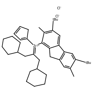 Cc1cc2c(cc1C(C)(C)C)-c1cc(C(C)(C)C)c(C)[c]([Zr+2]([C]3=CC=CC3)=[C](CC3CCCCC3)CC3CCCCC3)c1C2.[Cl-].[Cl-]